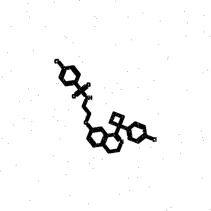 O=S(=O)(NCCOc1ccc2c(c1)C(C1(c3ccc(Cl)cc3)CCC1)=NCC2)c1ccc(Cl)cc1